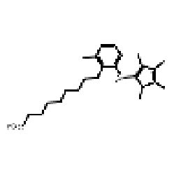 CCCCCCCCCCCCCCCCCCc1c(C)cccc1[SiH2]C1=C(C)C(C)=C(C)C1C